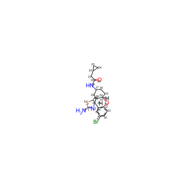 NC1=NC2(CS1)c1cc(Br)ccc1O[C@H]1CCC(NC(=O)CC3CC3)C[C@@H]12